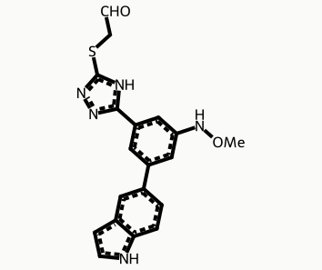 CONc1cc(-c2ccc3[nH]ccc3c2)cc(-c2nnc(SCC=O)[nH]2)c1